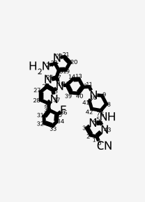 N#Cc1ccnc(NC2CCN(Cc3ccc(-n4c(-c5cccnc5N)nc5ccc(-c6ccccc6F)nc54)cc3)CC2)n1